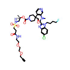 C#CCOCCOCCNC(=O)CCS(=O)(=O)NC[C@@H](C)OC(=O)N1CCC(C=O)(c2ccncc2N(C)Cc2nc3cc(Cl)ccc3n2CCCCF)CC1